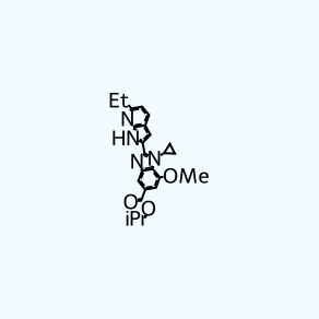 CCc1ccc2cc(-c3nc4cc(C(=O)OC(C)C)cc(OC)c4n3C3CC3)[nH]c2n1